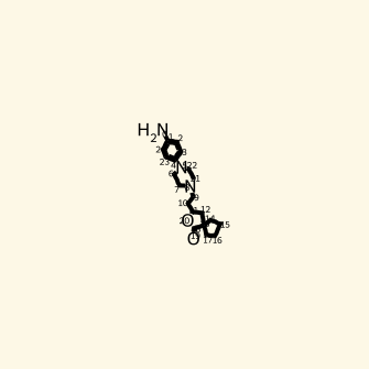 Nc1ccc(N2CCN(CCC3CC4(CCCC4)C(=O)O3)CC2)cc1